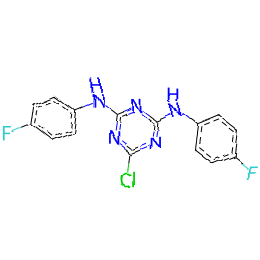 Fc1ccc(Nc2nc(Cl)nc(Nc3ccc(F)cc3)n2)cc1